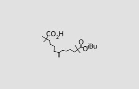 C=C(CCCCC(C)(C)C(=O)O)CCCCC(C)(C)C(=O)OC(C)CC